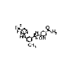 Cc1cc(Nc2nccc(C(F)(F)F)n2)cc(-c2cnc([C@]3(O)CC[C@H](C(N)=O)CC3)s2)c1